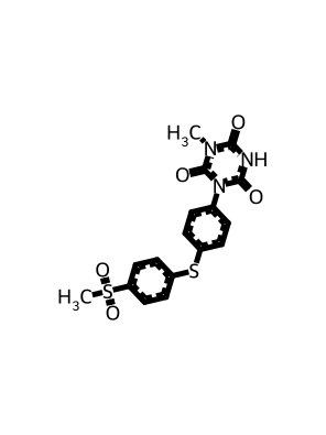 Cn1c(=O)[nH]c(=O)n(-c2ccc(Sc3ccc(S(C)(=O)=O)cc3)cc2)c1=O